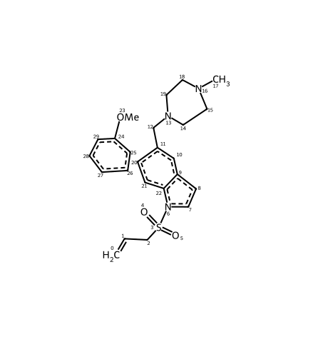 C=CCS(=O)(=O)n1ccc2cc(CN3CCN(C)CC3)ccc21.COc1ccccc1